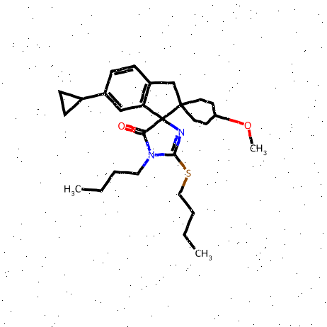 CCCCSC1=NC2(C(=O)N1CCCC)c1cc(C3CC3)ccc1CC21CCC(OC)CC1